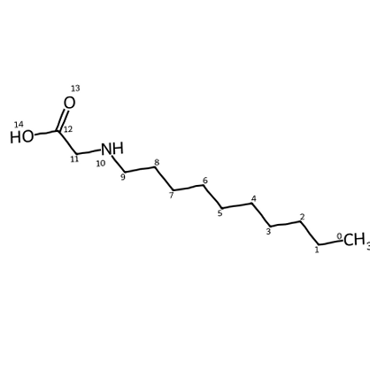 CCCCCCCCCCNCC(=O)O